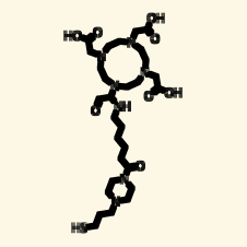 O=CC(NCCCCCC(=O)N1CCN(CCCS)CC1)N1CCN(CC(=O)O)CCN(CC(=O)O)CCN(CC(=O)O)CC1